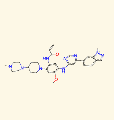 C=CC(=O)Nc1cc(Nc2cc(-c3ccc4cnn(C)c4c3)ncn2)c(OC)cc1N1CCC(N2CCN(C)CC2)CC1